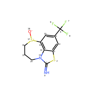 N=c1sc2cc(C(F)(F)F)cc3c2n1CCC[S+]3[O-]